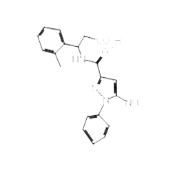 Cc1ccccc1C(CC(=O)O)NC(=O)c1cc(N)n(-c2ccccc2)n1